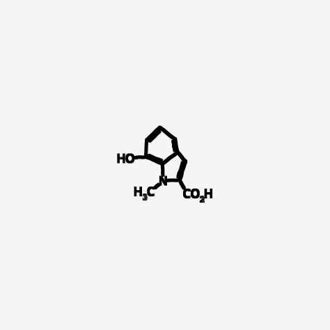 Cn1c(C(=O)O)cc2cccc(O)c21